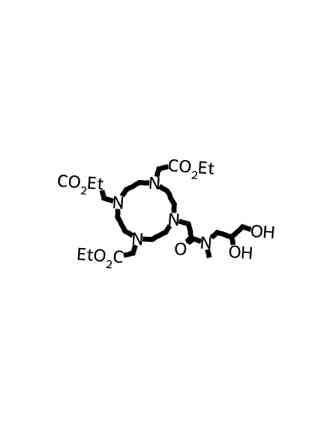 CCOC(=O)CN1CCN(CC(=O)OCC)CCN(CC(=O)N(C)CC(O)CO)CCN(CC(=O)OCC)CC1